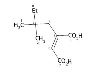 CCC(C)(C)CC(=CC(=O)O)C(=O)O